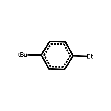 [CH2]Cc1ccc(C(C)(C)C)cc1